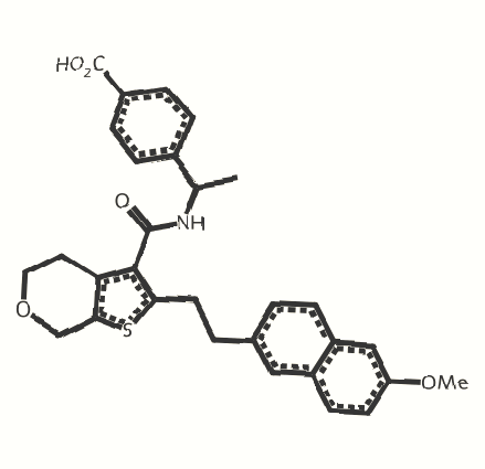 COc1ccc2cc(CCc3sc4c(c3C(=O)NC(C)c3ccc(C(=O)O)cc3)CCOC4)ccc2c1